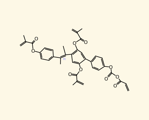 C=CC(=O)OC(=O)Oc1ccc(-c2cc(OC(=O)C(=C)C)c(/C(C)=C(\C)c3ccc(OC(=O)C(=C)C)cc3)cc2OC(=O)C(=C)C)cc1